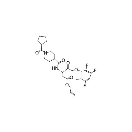 C=CCOC(=O)C[C@H](NC(=O)C1CCN(C(=O)C2CCCC2)CC1)C(=O)COc1c(C)c(F)cc(F)c1F